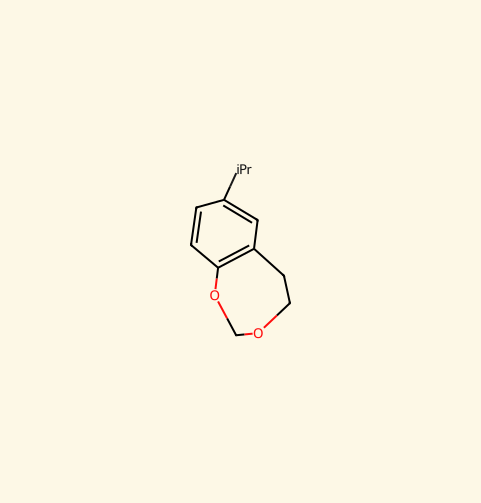 CC(C)c1ccc2c(c1)CCOCO2